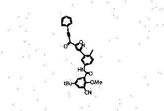 COc1c(C#N)cc(C(C)(C)C)cc1C(=O)Nc1ccc(C)c(-c2cc(C(=O)C#Cc3ccccc3)on2)c1